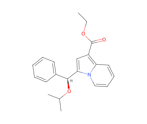 CCOC(=O)c1cc([C@@H](OC(C)C)c2ccccc2)n2ccccc12